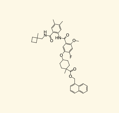 COc1cc(F)c(OC2CCC(C)(C(=O)OCc3cccc4ccccc34)CC2)cc1C(=O)Nc1cc(C)c(C)cc1C(=O)NCC1(C)CCC1